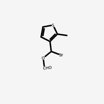 Cc1sccc1C(Br)OC=O